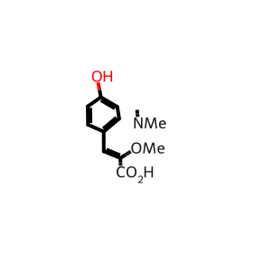 CNC.CO/C(=C\c1ccc(O)cc1)C(=O)O